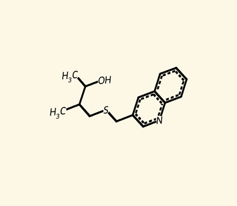 CC(O)C(C)CSCc1cnc2ccccc2c1